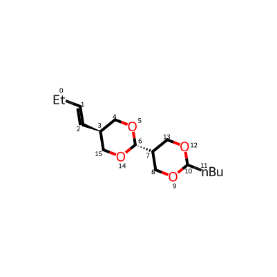 CC/C=C/[C@H]1CO[C@H](C2COC(CCCC)OC2)OC1